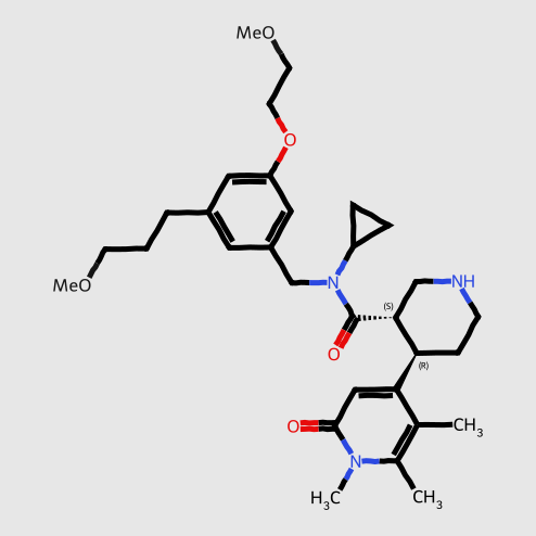 COCCCc1cc(CN(C(=O)[C@@H]2CNCC[C@H]2c2cc(=O)n(C)c(C)c2C)C2CC2)cc(OCCOC)c1